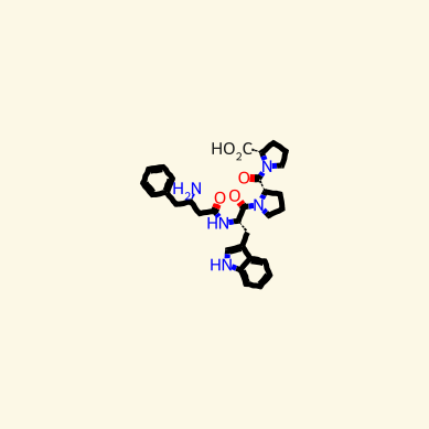 N[C@H](CC(=O)N[C@@H](Cc1c[nH]c2ccccc12)C(=O)N1CCC[C@H]1C(=O)N1CCC[C@H]1C(=O)O)Cc1ccccc1